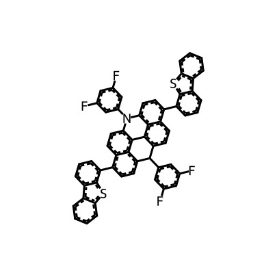 Fc1cc(F)cc(C2c3ccc4c(-c5cccc6c5sc5ccccc56)ccc5c4c3-c3c(ccc4c(-c6cccc7c6sc6ccccc67)ccc2c34)N5c2cc(F)cc(F)c2)c1